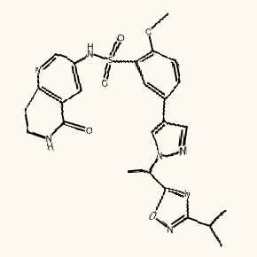 COc1ccc(-c2cnn(C(C)c3nc(C(C)C)no3)c2)cc1S(=O)(=O)Nc1cnc2c(c1)C(=O)NCC2